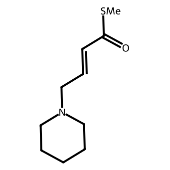 CSC(=O)/C=C/CN1CCCCC1